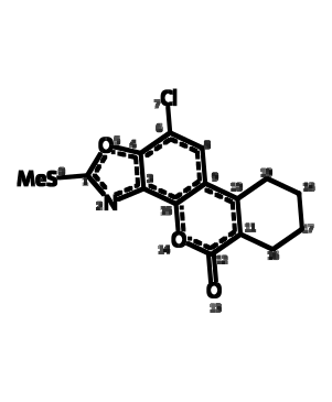 CSc1nc2c(o1)c(Cl)cc1c3c(c(=O)oc12)CCCC3